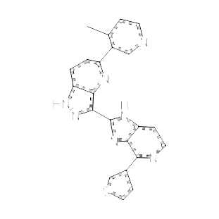 Cc1ccncc1-c1ccc2[nH]nc(-c3nc4c(-c5ccsc5)nccc4[nH]3)c2n1